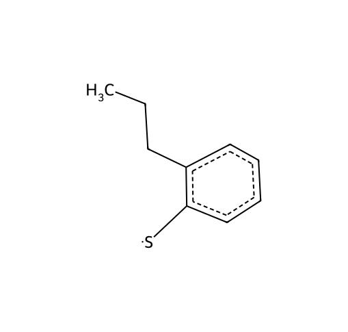 CCCc1ccccc1[S]